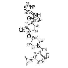 CC(c1cc(C2CC2)ccc1F)N1CCC(Oc2ccc(S(=O)(=O)Nc3cscn3)cc2Cl)CC1